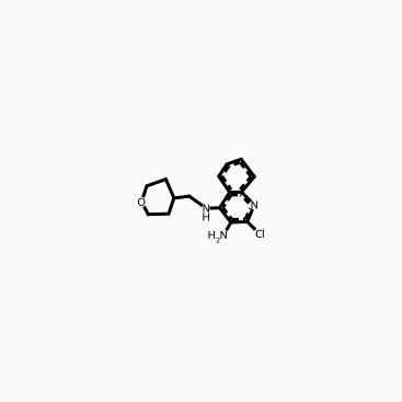 Nc1c(Cl)nc2ccccc2c1NCC1CCOCC1